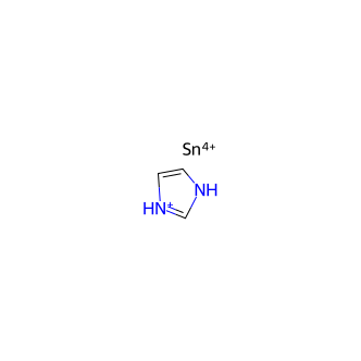 [Sn+4].c1c[nH+]c[nH]1